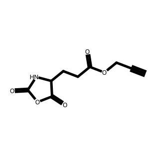 C#CCOC(=O)CCC1NC(=O)OC1=O